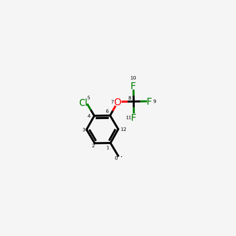 [CH2]c1ccc(Cl)c(OC(F)(F)F)c1